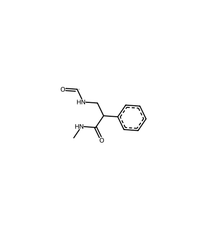 CNC(=O)C(CN[C]=O)c1ccccc1